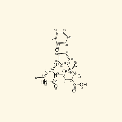 Cc1cc(=O)n(CCC(C(=O)O)N(C)S(=O)(=O)c2ccc(Oc3ccccc3)cc2)c(=O)[nH]1